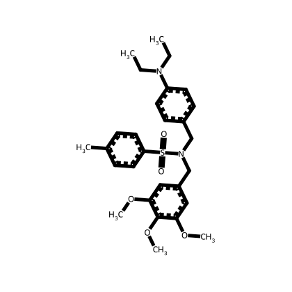 CCN(CC)c1ccc(CN(Cc2cc(OC)c(OC)c(OC)c2)S(=O)(=O)c2ccc(C)cc2)cc1